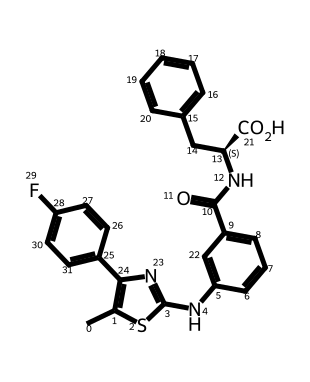 Cc1sc(Nc2cccc(C(=O)N[C@@H](Cc3ccccc3)C(=O)O)c2)nc1-c1ccc(F)cc1